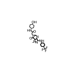 Cn1nc(Nc2ccc(C(F)(F)F)cc2)c2ncn(CC(=O)N[C@H]3CC[C@H](O)CC3)c(=O)c21